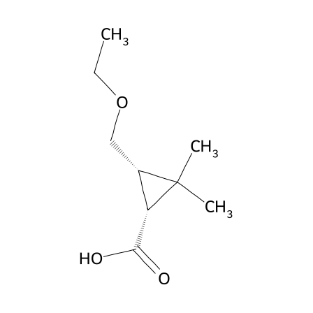 CCOC[C@H]1[C@@H](C(=O)O)C1(C)C